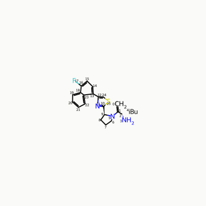 C=C([C@@H](N)[C@H](C)CC)N1CCC[C@H]1c1nc(-c2ccc(F)c3ccccc23)cs1